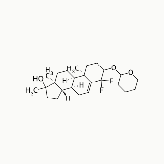 CC1(O)CC[C@H]2[C@@H]3CC=C4C(F)(F)C(OC5CCCCO5)CC[C@]4(C)[C@@H]3CC[C@@]21C